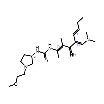 CC/C=C/C(=C\N(C)C)C(=N)/C(C)=C(\C)NC(=O)N[C@H]1CCN(CCOC)C1